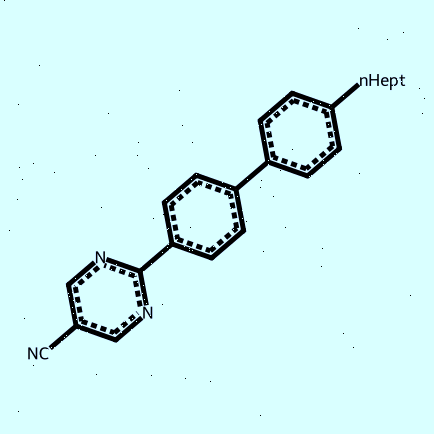 CCCCCCCc1ccc(-c2ccc(-c3ncc(C#N)cn3)cc2)cc1